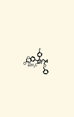 Cc1nn(CC2(COCc3ccccc3)CC2)c(-c2ccc(F)cc2)c1-c1ccc2c(c1)NC(=O)CO2